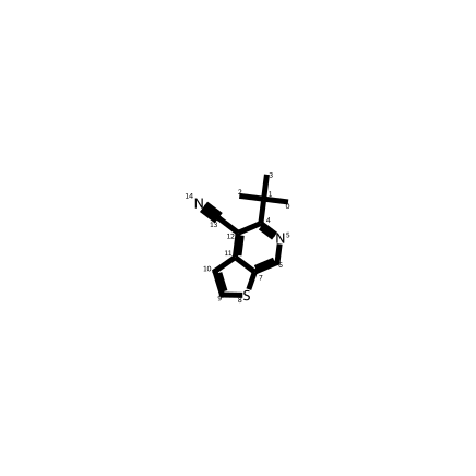 CC(C)(C)c1ncc2sccc2c1C#N